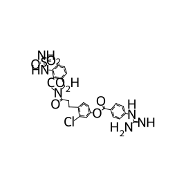 N=C(N)Nc1ccc(C(=O)Oc2ccc(CCC(=O)N(CC(=O)O)Cc3cccc(NS(N)(=O)=O)c3)c(Cl)c2)cc1